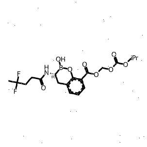 CC(C)OC(=O)OCOC(=O)c1cccc2c1OB(O)[C@@H](NC(=O)CCC(C)(F)F)C2